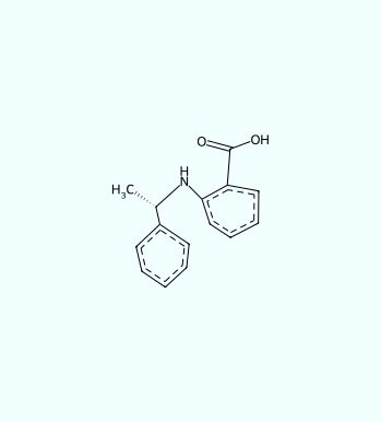 C[C@H](Nc1ccccc1C(=O)O)c1ccccc1